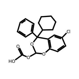 O=C(O)OC1Oc2ccc(Cl)cc2C(c2ccccc2)(C2CCCCC2)O1